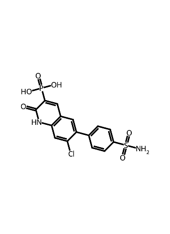 NS(=O)(=O)c1ccc(-c2cc3cc(P(=O)(O)O)c(=O)[nH]c3cc2Cl)cc1